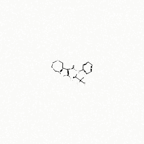 O=c1c2c3c(sc2nc(C(F)(F)F)n1-c1ccccc1)CCCCC3